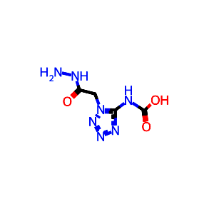 NNC(=O)Cn1nnnc1NC(=O)O